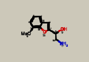 COc1cccc2cc(C(O)CN)oc12